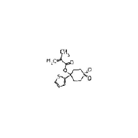 C=C(C)C(=O)OC1(c2cccs2)CCS(=O)(=O)CC1